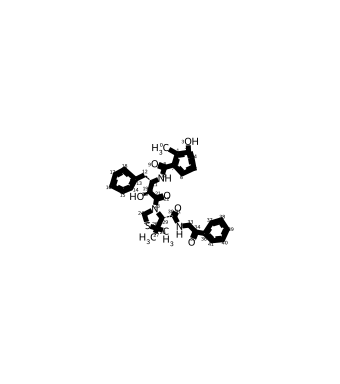 Cc1c(O)cccc1C(=O)N[C@@H](Cc1ccccc1)[C@H](O)C(=O)N1CSC(C)(C)[C@H]1C(=O)NCC(=O)c1ccccc1